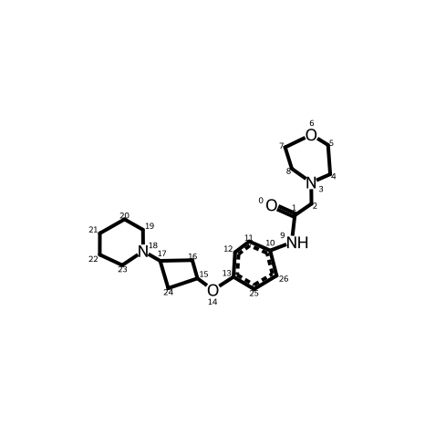 O=C(CN1CCOCC1)Nc1ccc(OC2CC(N3CCCCC3)C2)cc1